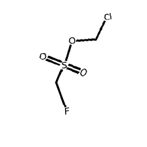 O=S(=O)(CF)OCCl